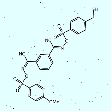 COc1ccc(S(=O)(=O)ON=C(C#N)c2cccc(C(C#N)=NOS(=O)(=O)c3ccc(CS)cc3)c2)cc1